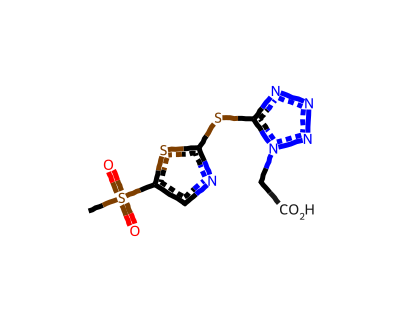 CS(=O)(=O)c1cnc(Sc2nnnn2CC(=O)O)s1